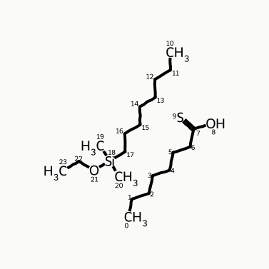 CCCCCCCC(O)=S.CCCCCCCC[Si](C)(C)OCC